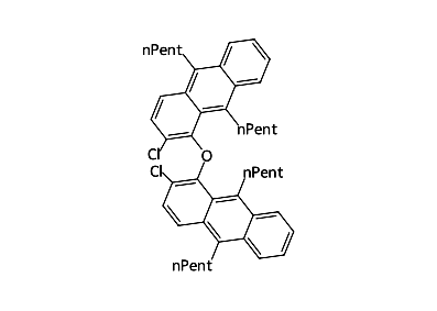 CCCCCc1c2ccccc2c(CCCCC)c2c(Oc3c(Cl)ccc4c(CCCCC)c5ccccc5c(CCCCC)c34)c(Cl)ccc12